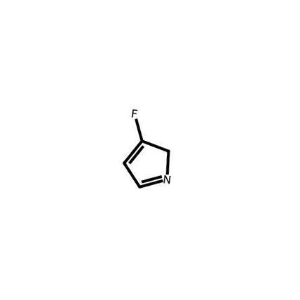 FC1=CC=NC1